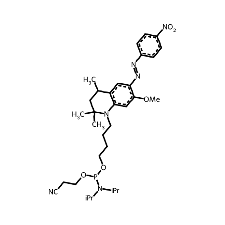 COc1cc2c(cc1/N=N/c1ccc([N+](=O)[O-])cc1)C(C)CC(C)(C)N2CCCCOP(OCCC#N)N(C(C)C)C(C)C